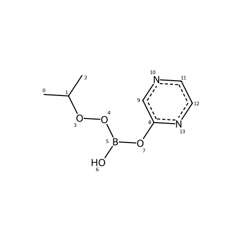 CC(C)OOB(O)Oc1cnccn1